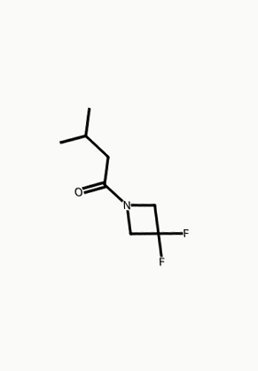 CC(C)CC(=O)N1CC(F)(F)C1